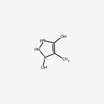 CC1=C(O)NNN1O